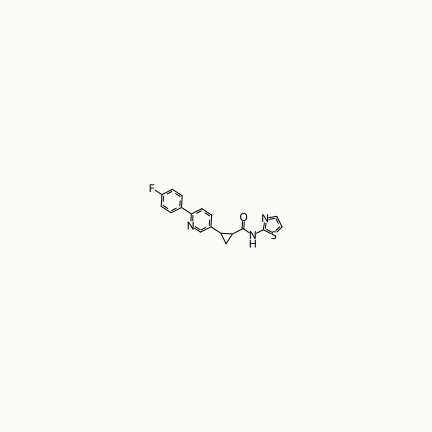 O=C(Nc1nccs1)C1CC1c1ccc(-c2ccc(F)cc2)nc1